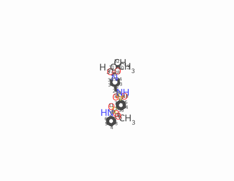 COc1ccccc1NS(=O)(=O)c1cccc(S(=O)(=O)NCC2CCN(C(=O)OC(C)(C)C)CC2)c1